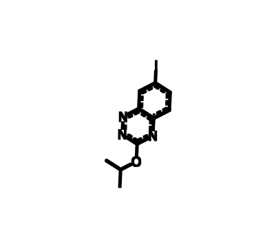 CC(C)Oc1nnc2cc(I)ccc2n1